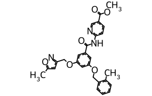 COC(=O)c1ccc(NC(=O)c2cc(OCc3cc(C)on3)cc(OCc3ccccc3C)c2)nc1